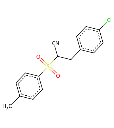 Cc1ccc(S(=O)(=O)C(C#N)Cc2ccc(Cl)cc2)cc1